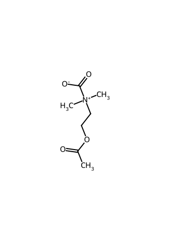 CC(=O)OCC[N+](C)(C)C(=O)[O-]